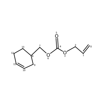 C=CCOC(=O)OCC1CC=CCC1